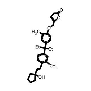 CCC(CC)(c1ccc(C=CC2(O)CCCC2)c(C)c1)c1ccc(OCC2=CCC(=O)O2)c(C)c1